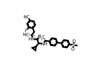 CS(=O)(=O)c1ccc(-c2ccc([C@H](NC(C(=O)N[C@H](C#N)Cc3ccc(C#N)cc3F)C3CC3)C(F)(F)F)cc2)cc1